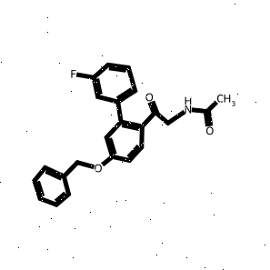 CC(=O)NCC(=O)c1ccc(OCc2ccccc2)cc1-c1cccc(F)c1